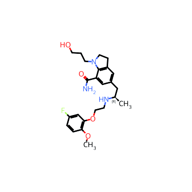 COc1ccc(F)cc1OCCN[C@H](C)Cc1cc2c(c(C(N)=O)c1)N(CCCO)CC2